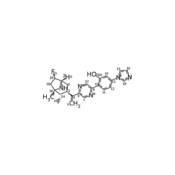 [2H][C@]12C[C@@H](C(=C)c3cnc(-c4ccc(-n5ccnc5)cc4O)cn3)[C@H](F)[C@](C)(C[C@H]1F)N2